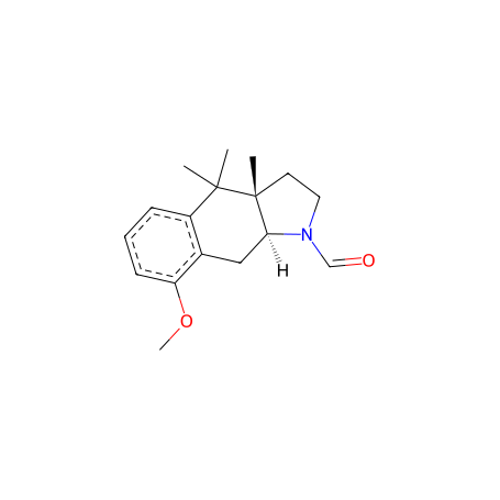 COc1cccc2c1C[C@@H]1N(C=O)CC[C@@]1(C)C2(C)C